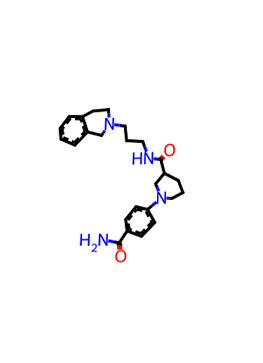 NC(=O)c1ccc(N2CCCC(C(=O)NCCCN3CCc4ccccc4C3)C2)cc1